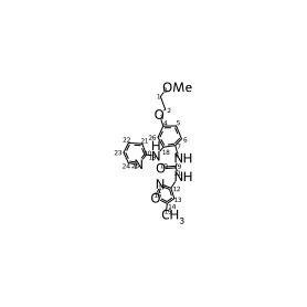 COCCOc1ccc(NC(=O)Nc2cc(C)on2)c(Nc2ccccn2)c1